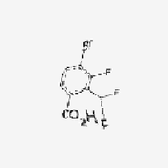 O=C(O)c1ccc(Br)c(F)c1C(F)F